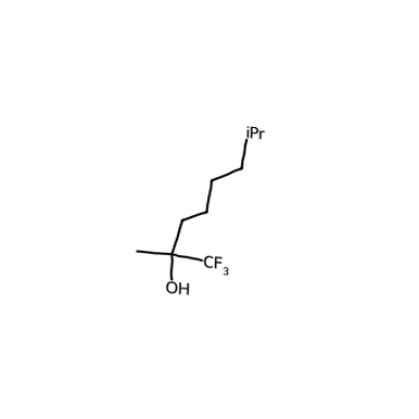 CC(C)CCCCC(C)(O)C(F)(F)F